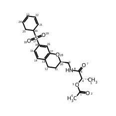 CC(=O)O[C@@H](C)C(=O)NC[C@H]1CCc2ccc(S(=O)(=O)C3C=CC=CC3)cc2O1